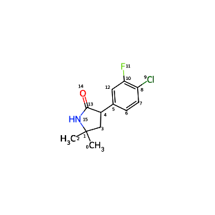 CC1(C)CC(c2ccc(Cl)c(F)c2)C(=O)N1